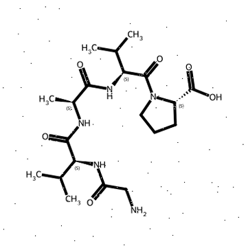 CC(C)[C@H](NC(=O)CN)C(=O)N[C@@H](C)C(=O)N[C@H](C(=O)N1CCC[C@H]1C(=O)O)C(C)C